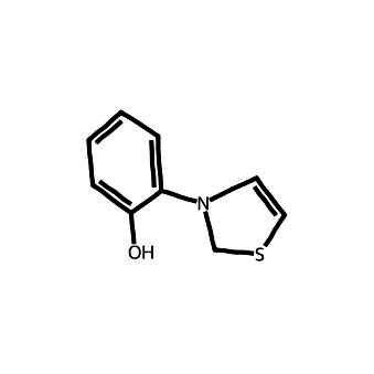 Oc1ccccc1N1C=CSC1